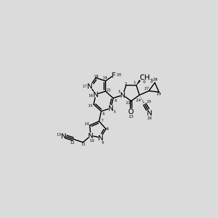 C[C@@H]1CN(c2nc(-c3cnn(CC#N)c3)cn3ncc(F)c23)C(=O)[C@]1(C#N)C1CC1